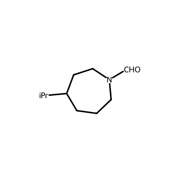 CC(C)C1CCCN(C=O)CC1